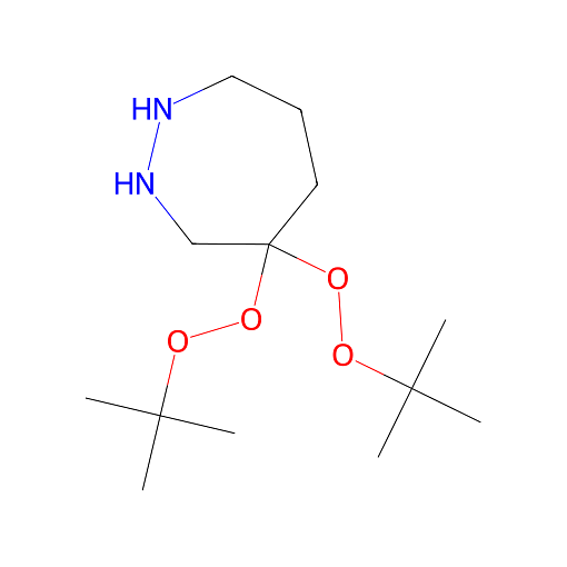 CC(C)(C)OOC1(OOC(C)(C)C)CCCNNC1